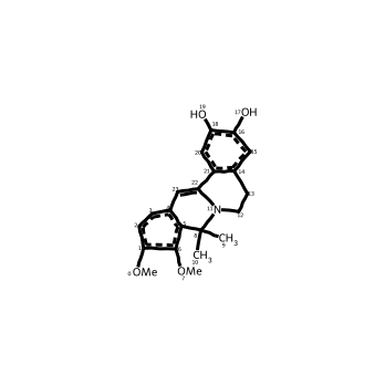 COc1ccc2c(c1OC)C(C)(C)N1CCc3cc(O)c(O)cc3C1=C2